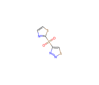 O=S(=O)(c1csnn1)c1nccs1